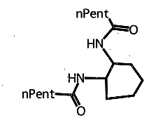 CCCCCC(=O)NC1CCCCC1NC(=O)CCCCC